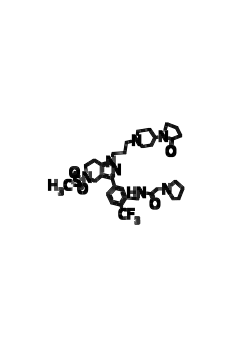 CS(=O)(=O)N1CCc2c(c(-c3ccc(C(F)(F)F)c(CNC(=O)CN4CCCC4)c3)nn2CCCN2CCC(N3CCCC3=O)CC2)C1